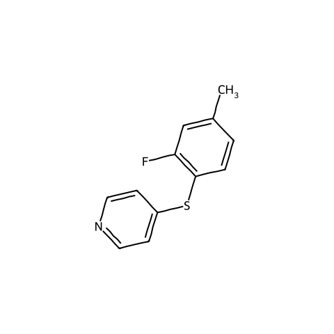 Cc1ccc(Sc2ccncc2)c(F)c1